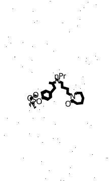 CCCN(CCCCN1CCCCCC1=O)C(C)Cc1ccc(OS(=O)(=O)N(C)C)cc1